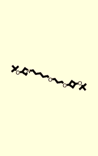 CC(C)(C)OC1CC(OCCCOCCCCCN2CC(OC(C)(C)C)C2)C1